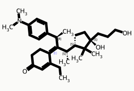 CCC1=CC(=O)CC/C1=C(/[C@@H](C)[C@@H]1CC[C@](O)(CCCO)C1(C)C)[C@H](C)c1ccc(N(C)C)cc1